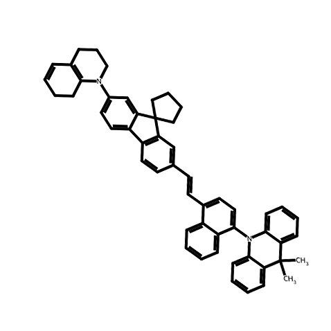 CC1(C)c2ccccc2N(c2ccc(/C=C/c3ccc4c(c3)C3(CCCC3)c3cc(N5CCCC6=C5CCC=C6)ccc3-4)c3ccccc23)c2ccccc21